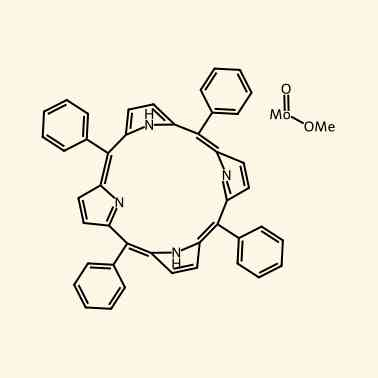 C1=Cc2nc1c(-c1ccccc1)c1ccc([nH]1)c(-c1ccccc1)c1nc(c(-c3ccccc3)c3ccc([nH]3)c2-c2ccccc2)C=C1.C[O][Mo]=[O]